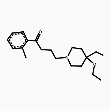 CCOC1(CC)CCN(CCCC(=O)c2ccccc2C)CC1